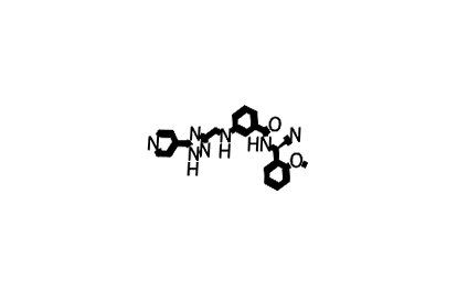 COc1ccccc1[C@H](C#N)NC(=O)c1cccc(NCc2n[nH]c(-c3ccncc3)n2)c1